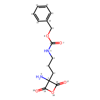 NC1(CCCNC(=O)OCc2ccccc2)C(=O)OC1=O